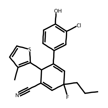 CCCC1(F)C=C(C#N)C(c2sccc2C)C(c2ccc(O)c(Cl)c2)=C1